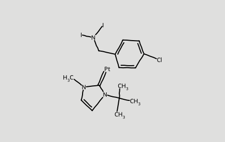 Clc1ccc(CN(I)I)cc1.Cn1ccn(C(C)(C)C)[c]1=[Pt]